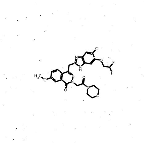 COc1ccc2c(Cc3nc4cc(Cl)c(OCC(F)F)cc4[nH]3)nn(CC(=O)N3CCOCC3)c(=O)c2c1